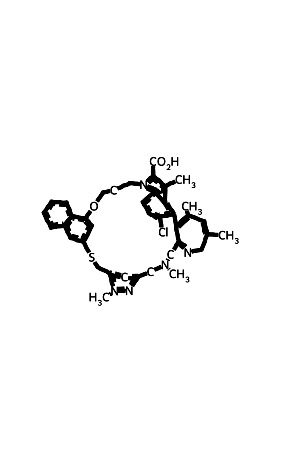 CC1=CC(C)=C2C(=NC1)CN(C)Cc1cc(n(C)n1)CSc1cc(c3ccccc3c1)OCCCn1c(C(=O)O)c(C)c3c2c(Cl)ccc31